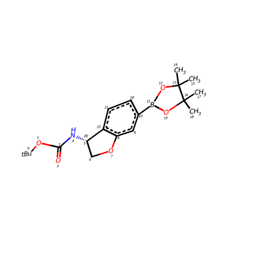 CC(C)(C)OC(=O)N[C@H]1COc2cc(B3OC(C)(C)C(C)(C)O3)ccc21